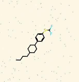 CCCCC1CCC(c2ccc(SC(F)F)cc2)CC1